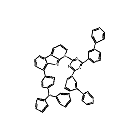 c1ccc(-c2cccc(-c3nc(-c4cccc(-c5ccccc5)c4)nc(-n4cccc5c6cccc(-c7ccc(N(c8ccccc8)c8ccccc8)cc7)c6nc4-5)n3)c2)cc1